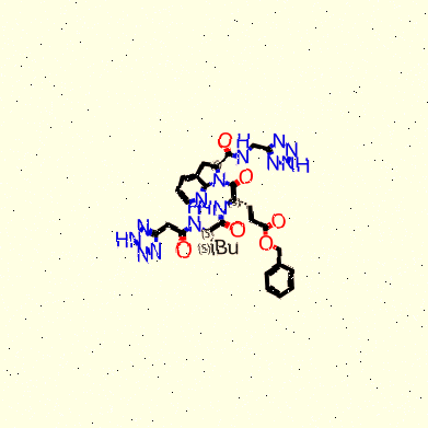 CC[C@H](C)[C@H](NC(=O)Cc1nn[nH]n1)C(=O)N[C@@H](CCC(=O)OCc1ccccc1)C(=O)N1c2ncccc2C[C@H]1C(=O)NCc1nn[nH]n1